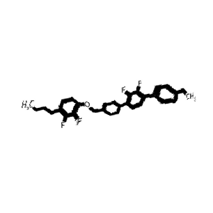 CCCCc1ccc(OCC2CCC(c3ccc(-c4ccc(CC)cc4)c(F)c3F)CC2)c(F)c1F